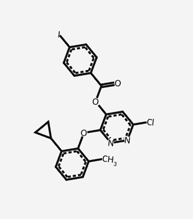 Cc1cccc(C2CC2)c1Oc1nnc(Cl)cc1OC(=O)c1ccc(I)cc1